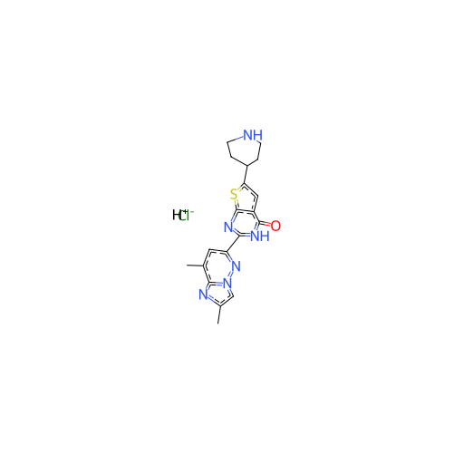 Cc1cn2nc(-c3nc4sc(C5CCNCC5)cc4c(=O)[nH]3)cc(C)c2n1.[Cl-].[H+]